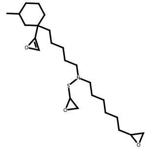 CC1CCCC(CCCCCN(CCCCCCC2CO2)SC2CO2)(C2=CO2)C1